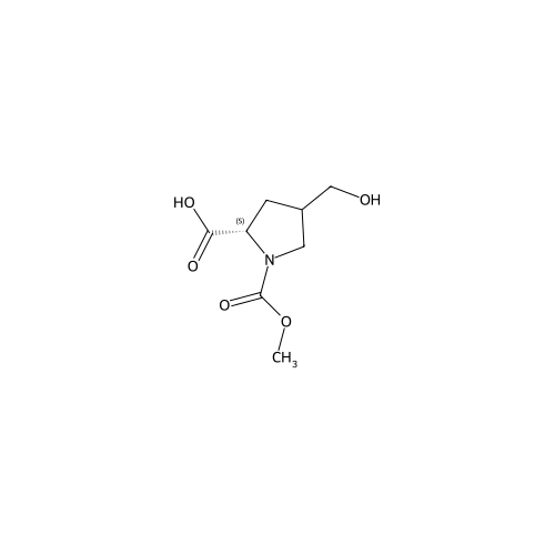 COC(=O)N1CC(CO)C[C@H]1C(=O)O